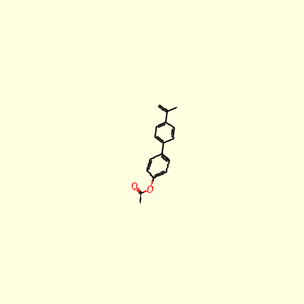 C=C(C)c1ccc(-c2ccc(OC(C)=O)cc2)cc1